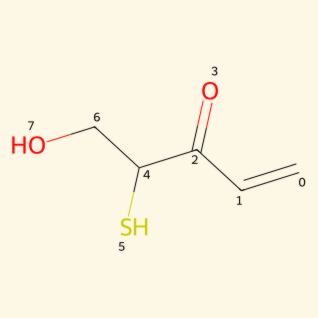 C=CC(=O)C(S)CO